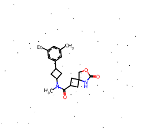 CCc1cc(C)cc(C2CC(N(C)C(=O)C3CC4(COC(=O)N4)C3)C2)c1